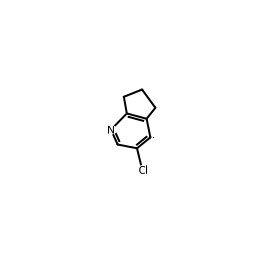 Clc1[c]c2c(nc1)CCC2